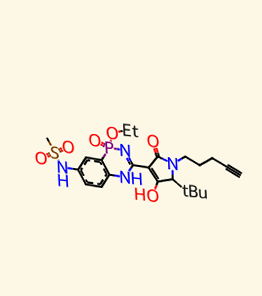 C#CCCCN1C(=O)C(C2=NP(=O)(OCC)c3cc(NS(C)(=O)=O)ccc3N2)=C(O)C1C(C)(C)C